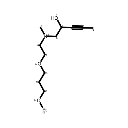 CC#CC(O)CN(C)CCOCCCOCC